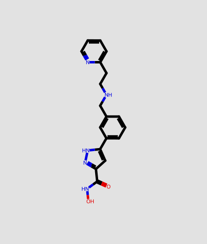 O=C(NO)c1cc(-c2cccc(CNCCc3ccccn3)c2)[nH]n1